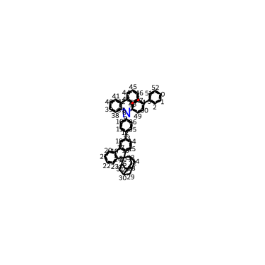 c1ccc(-c2ccc(N(c3ccc(-c4ccc5c(c4)-c4ccccc4C54C5CC6CC(C5)CC4C6)cc3)c3ccccc3-c3ccccc3)cc2)cc1